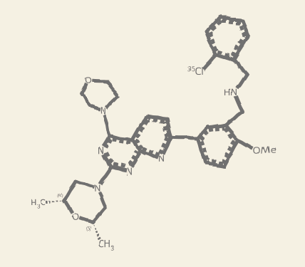 COc1ccc(-c2ccc3c(N4CCOCC4)nc(N4C[C@@H](C)O[C@@H](C)C4)nc3n2)cc1CNCc1ccccc1[35Cl]